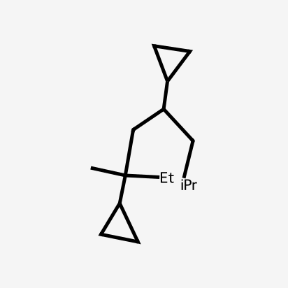 [CH2]CC(C)(CC(CC(C)C)C1CC1)C1CC1